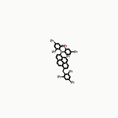 CC(C)c1cc(C(C)C)c(Cc2ccc3ccc4c(B(c5c(C(C)C)cc(C(C)C)cc5C(C)C)c5c(C(C)C)cc(C(C)C)cc5C(C)C)ccc5ccc2c3c54)c(C(C)C)c1